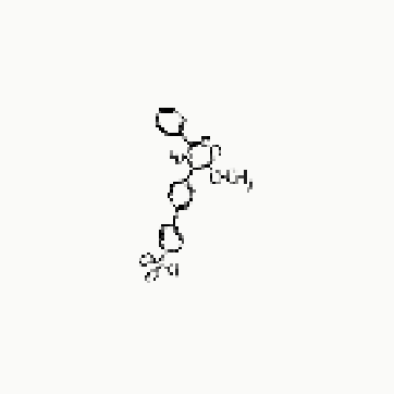 COC(=O)C(NC(=O)c1ccccc1)c1ccc(-c2ccc(S(=O)(=O)Cl)cc2)cc1